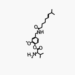 COc1cc(CNC(=O)CCCCC=CC(C)C)ccc1OC(=O)C(N)C(C)C